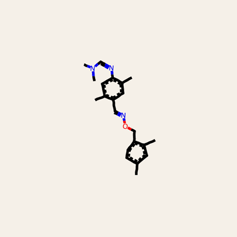 Cc1ccc(CO/N=C/c2cc(C)c(/N=C\N(C)C)cc2C)c(C)c1